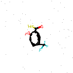 O=C(S)c1cc(C(F)(F)F)ccc1O